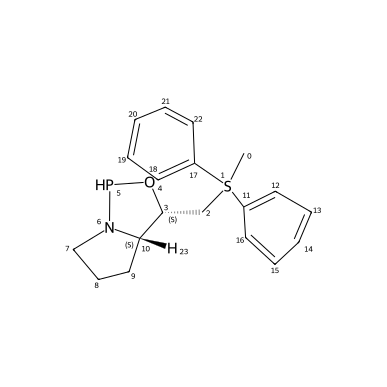 CS(C[C@H]1OPN2CCC[C@@H]12)(c1ccccc1)c1ccccc1